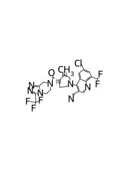 C[C@@H]1CN(c2c(C#N)cnc3c(C(F)F)cc(Cl)cc23)CC[C@@H]1C(=O)N1CCn2c(nnc2C(F)(F)F)C1